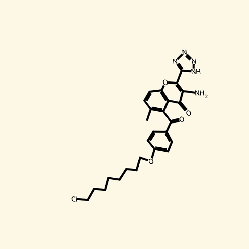 Cc1ccc2oc(-c3nnn[nH]3)c(N)c(=O)c2c1C(=O)c1ccc(OCCCCCCCCCl)cc1